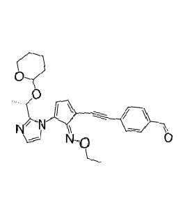 CCO/N=C1\C(C#Cc2ccc(C=O)cc2)=CC=C1n1ccnc1[C@H](C)OC1CCCCO1